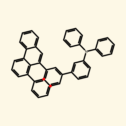 c1ccc(-c2cccc3c2c(-c2cccc(-c4cccc(N(c5ccccc5)c5ccccc5)c4)c2)cc2ccccc23)cc1